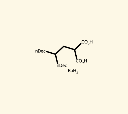 CCCCCCCCCCC(CCCCCCCCCC)CC(C(=O)O)C(=O)O.[BaH2]